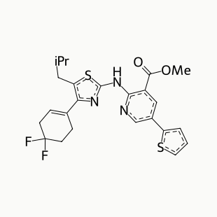 COC(=O)c1cc(-c2cccs2)cnc1Nc1nc(C2=CCC(F)(F)CC2)c(CC(C)C)s1